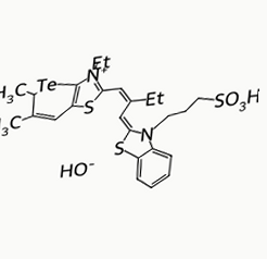 CCC(=Cc1sc2c([n+]1CC)[Te]C(C)C(C)=C2)C=C1Sc2ccccc2N1CCCS(=O)(=O)O.[OH-]